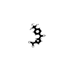 O=C(c1ccc(C(F)(F)F)cc1)c1ccc(C(Cl)Cl)s1